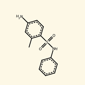 Cc1cc(N)ccc1S(=O)(=O)Nc1ccccc1